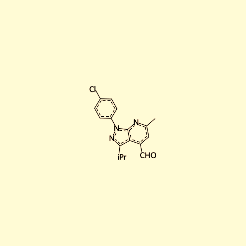 Cc1cc(C=O)c2c(C(C)C)nn(-c3ccc(Cl)cc3)c2n1